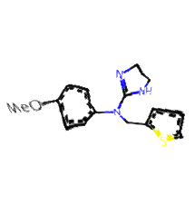 COc1ccc(N(Cc2cccs2)C2=NCCN2)cc1